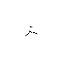 [F][Pb][F].[Ho]